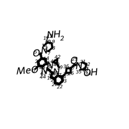 COc1cc(C(=O)N2CCC[C@@H](CN)C2)cc2nc(-c3cc4cccc(C5CC(C(=O)N6CC[C@H](O)C6)C5)c4n3CC3CC3)n(C)c12